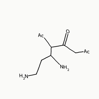 CC(=O)CC(=O)C(C(C)=O)C(N)CCN